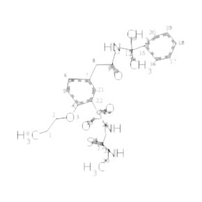 CCCOc1ccc(CC(=O)NC(C)(C)c2ccccc2)cc1S(=O)(=O)NC(=S)NC